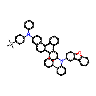 C[Si](C)(C)c1ccc(N(c2ccccc2)c2ccc3c(ccc4c5ccc(N(c6ccc7oc8ccccc8c7c6)c6ccccc6-c6ccccc6)cc5c5ccccc5c34)c2)cc1